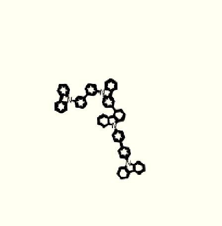 C1=CC2C3=C(C=CCC3)N(c3ccc(-c4ccc(N5C6=C(C(c7ccc8c(c7)c7ccccc7n8-c7cccc(-c8cccc(-n9c%10ccccc%10c%10ccccc%109)c8)c7)CC=C6)C6C=CC=CC65)cc4)cc3)C2C=C1